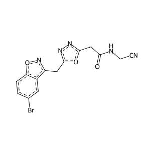 N#CCNC(=O)Cc1nnc(Cc2noc3ccc(Br)cc23)o1